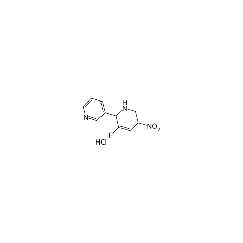 Cl.O=[N+]([O-])C1C=C(F)C(c2cccnc2)NC1